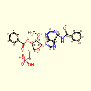 CO[C@@H]1[C@H](OC(=O)c2ccccc2)[C@@H](C=CP(=O)(O)O)O[C@H]1n1cnc2c(NC(=O)c3ccccc3)ncnc21